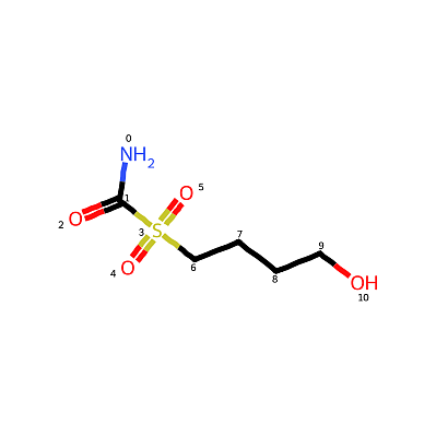 NC(=O)S(=O)(=O)CC[CH]CO